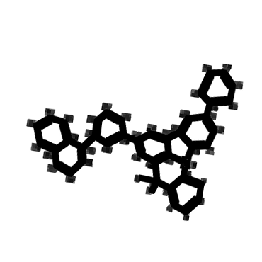 CC1(C)c2ccccc2-n2c3ccc(-c4ccccc4)cc3c3cc(-c4cccc(-c5cccc6ccccc56)c4)cc1c32